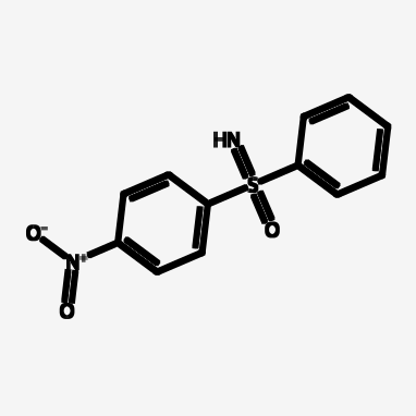 N=S(=O)(c1ccccc1)c1ccc([N+](=O)[O-])cc1